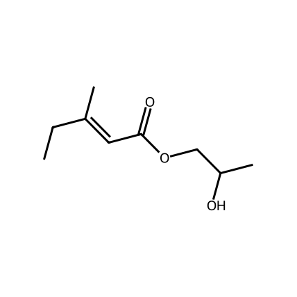 CCC(C)=CC(=O)OCC(C)O